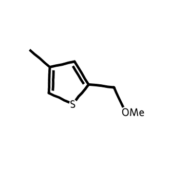 COCc1cc(C)cs1